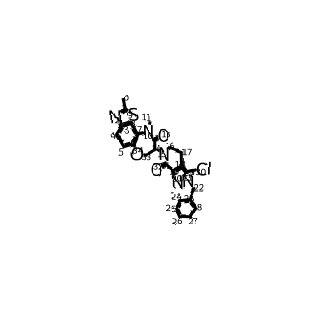 Cc1nc2ccc3c(c2s1)N(C)C(=O)[C@@H](N1CCc2c(nn(Cc4ccccc4)c2Cl)C1=O)CO3